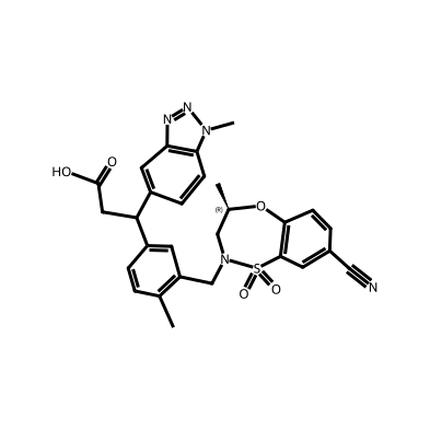 Cc1ccc(C(CC(=O)O)c2ccc3c(c2)nnn3C)cc1CN1C[C@@H](C)Oc2ccc(C#N)cc2S1(=O)=O